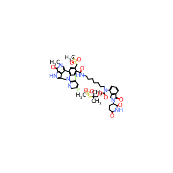 Cn1cc2c3c(c[nH]c3c1=O)CN(c1ncc(F)cc1F)c1cc(C(=O)NCCCCCCCN(C(=O)OCC(C)(C)SS(C)(=O)=O)c3cccc4c3CN(C3CCC(=O)NC3=O)C4=O)c(CS(C)(=O)=O)cc1-2